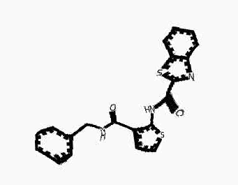 O=C(Nc1sccc1C(=O)NCc1ccccc1)c1nc2ccccc2s1